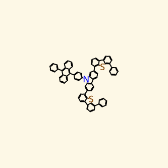 c1ccc(-c2c3ccccc3c(-c3ccc(-n4c5cc(-c6cccc7c6sc6c(-c8ccccc8)cccc67)ccc5c5ccc(-c6cccc7c6sc6c(-c8ccccc8)cccc67)cc54)cc3)c3ccccc23)cc1